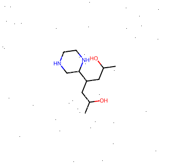 CC(O)CC(CC(C)O)C1CNCCN1